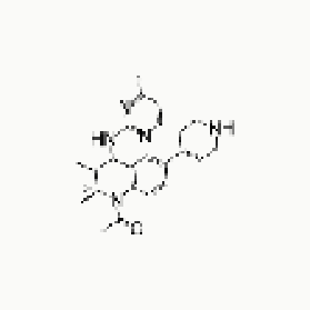 CC(=O)N1c2ccc(C3=CCNCC3)cc2C(Nc2nccc(C)n2)C(C)[C@@H]1C